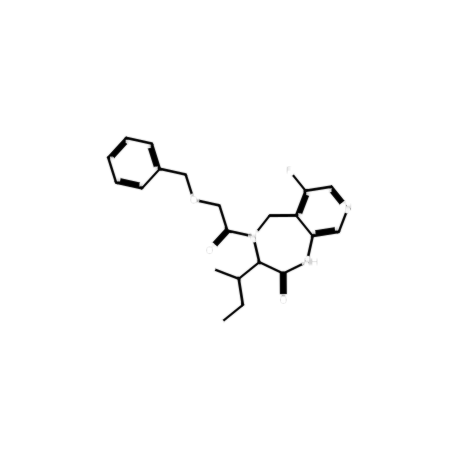 CCC(C)C1C(=O)Nc2cncc(F)c2CN1C(=O)COCc1ccccc1